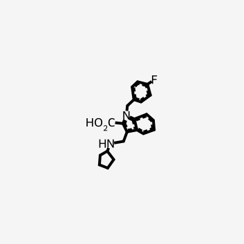 O=C(O)c1c(CNC2CCCC2)c2ccccc2n1Cc1ccc(F)cc1